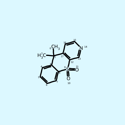 CC1(C)c2ccccc2S(=O)(=O)c2cnccc21